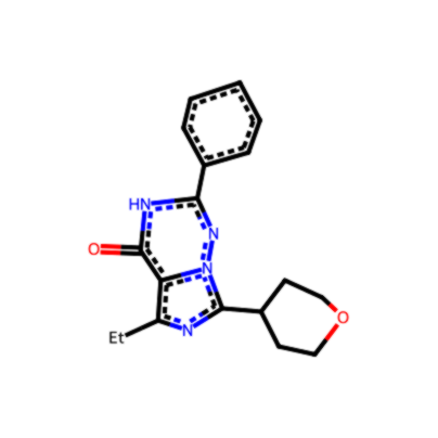 CCc1nc(C2CCOCC2)n2nc(-c3ccccc3)[nH]c(=O)c12